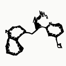 NN=C(Cc1ccnc2ccccc12)c1cc(Cl)ccn1